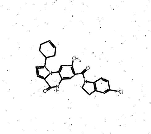 Cc1cc2c(cc1C(=O)N1CCc3cc(Cl)ccc31)NC(=O)C1=C=C=C(C3CC=CCC3)N12